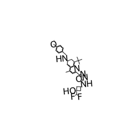 COc1ccc(CNC2C=c3c(C)cc(-c4nnc(N[C@H]5C[C@](O)(C(F)F)C5)o4)nc3=C(C(C)(C)C)C2)cc1